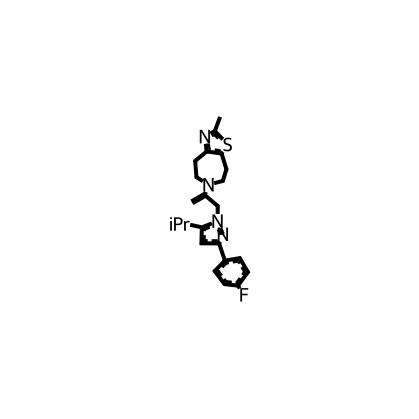 C=C(Cn1nc(-c2ccc(F)cc2)cc1C(C)C)N1CCc2nc(C)sc2CC1